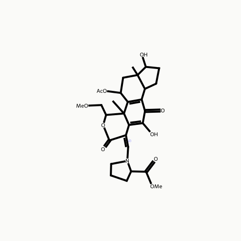 COCC1OC(=O)/C(=C\N2CCCC2C(=O)OC)C2=C(O)C(=O)C3=C(C(OC(C)=O)CC4(C)C(O)CCC34)C21C